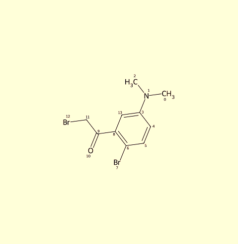 CN(C)c1ccc(Br)c(C(=O)CBr)c1